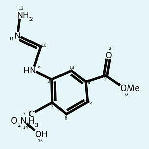 COC(=O)c1ccc(C)c(NC=NN)c1.O=[N+]([O-])O